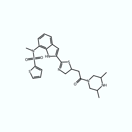 CC1CN(C(=O)CC2CN=C(c3cc4cccc(N(C)S(=O)(=O)c5cccs5)c4[nH]3)S2)CC(C)N1